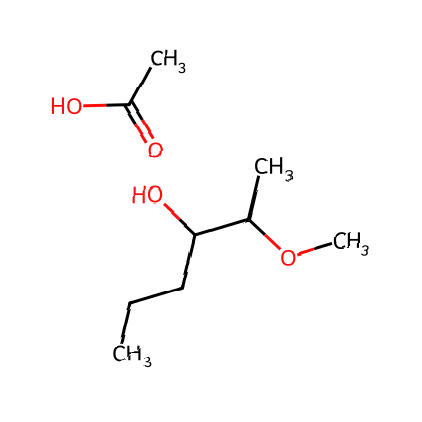 CC(=O)O.CCCC(O)C(C)OC